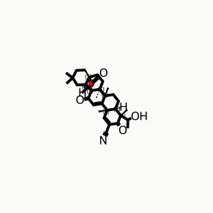 CC(O)[C@]1(C)C(=O)C(C#N)=C[C@]2(C)C3=CC(=O)[C@]45OC(=O)[C@@]6(CCC(C)(C)C[C@H]64)CC[C@@]5(C)[C@]3(C)CC[C@@H]12